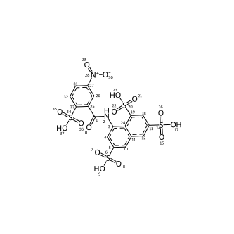 O=C(Nc1cc(S(=O)(=O)O)cc2cc(S(=O)(=O)O)cc(S(=O)(=O)O)c12)c1cc([N+](=O)[O-])ccc1S(=O)(=O)O